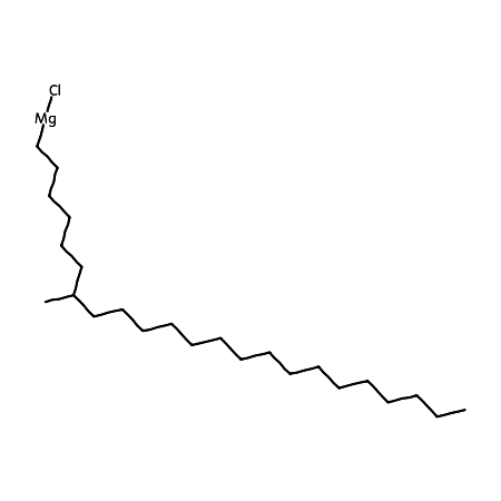 CCCCCCCCCCCCCCCCC(C)CCCCC[CH2][Mg][Cl]